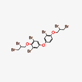 BrCC(Br)COc1ccc(Oc2cc(Br)c(OCC(Br)CBr)c(Br)c2)cc1Br